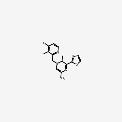 CCc1c(F)ccnc1CN1C=C(N)N=C(c2ncco2)C1C